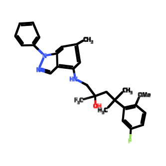 COc1ccc(F)cc1C(C)(C)CC(O)(CNc1cc(C)cc2c1cnn2-c1ccccc1)C(F)(F)F